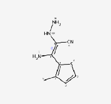 Cc1ccsc1/C(N)=C(\C#N)NN